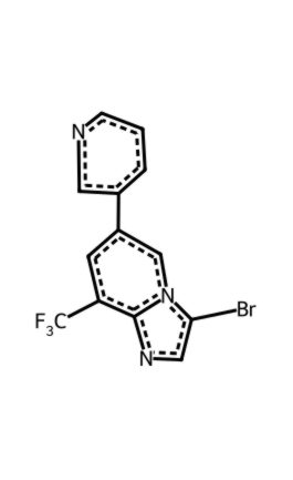 FC(F)(F)c1cc(-c2cccnc2)cn2c(Br)cnc12